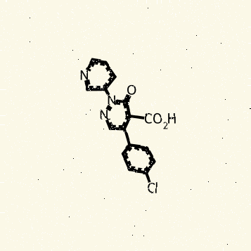 O=C(O)c1c(-c2ccc(Cl)cc2)cnn(-c2cccnc2)c1=O